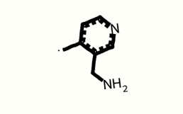 [CH2]c1ccncc1CN